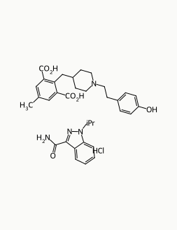 CC(C)n1nc(C(N)=O)c2ccccc21.Cc1cc(C(=O)O)c(CC2CCN(CCc3ccc(O)cc3)CC2)c(C(=O)O)c1.Cl